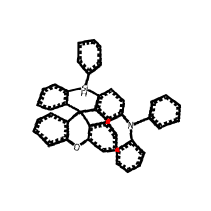 c1ccc(N(c2ccccc2)c2ccc3c(c2)C2(c4ccccc4Oc4ccccc42)c2ccccc2[SiH]3c2ccccc2)cc1